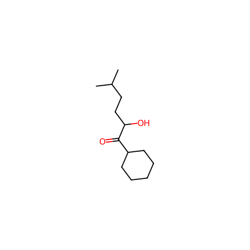 CC(C)CCC(O)C(=O)C1CCCCC1